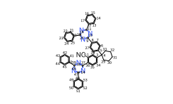 N#Cc1cc(C2(c3ccc(-c4nc(-c5ccccc5)nc(-c5ccccc5)n4)cc3)CCCCC2)ccc1-c1nc(-c2ccccc2)nc(-c2ccccc2)n1